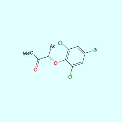 COC(=O)C(Oc1c(Cl)cc(Br)cc1Cl)C(C)=O